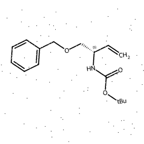 C=C[C@@H](COCc1ccccc1)NC(=O)OC(C)(C)C